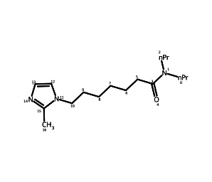 CCCN(CCC)C(=O)CCCCCCn1c[c]nc1C